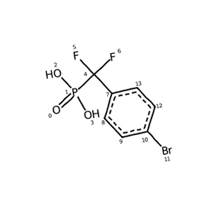 O=P(O)(O)C(F)(F)c1ccc(Br)cc1